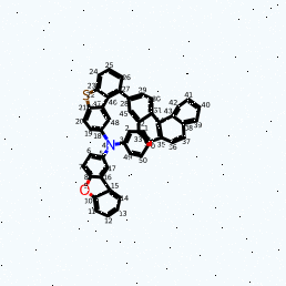 c1ccc(N(c2ccc3oc4ccccc4c3c2)c2ccc3sc4cccc(-c5ccc6c(ccc7ccc8ccccc8c76)c5)c4c3c2)cc1